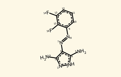 Nc1n[nH]c(N)c1N=Nc1cccc(F)c1F